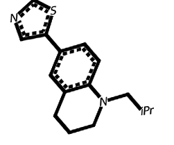 CC(C)CN1CCCc2cc(-c3cncs3)ccc21